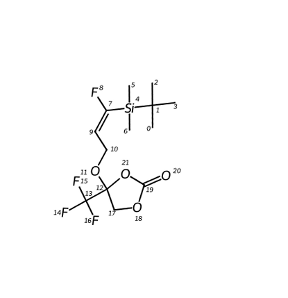 CC(C)(C)[Si](C)(C)C(F)=CCOC1(C(F)(F)F)COC(=O)O1